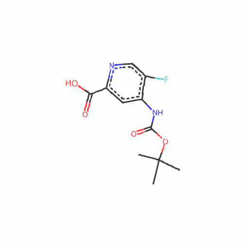 CC(C)(C)OC(=O)Nc1cc(C(=O)O)ncc1F